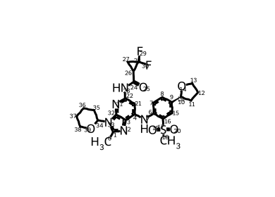 Cc1nc2c(Nc3ccc([C@@H]4CCCO4)cc3S(C)(=O)=O)cc(NC(=O)C3CC3(F)F)nc2n1C1CCCCO1